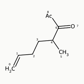 C=CCCC(C)C(=O)C(C)=O